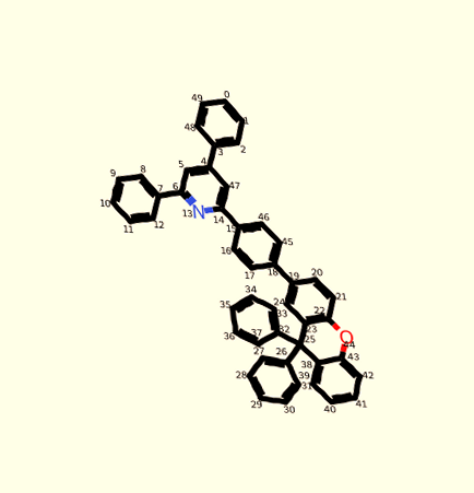 c1ccc(-c2cc(-c3ccccc3)nc(-c3ccc(-c4ccc5c(c4)C(c4ccccc4)(c4ccccc4)c4ccccc4O5)cc3)c2)cc1